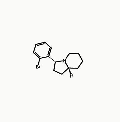 Brc1ccccc1[C@H]1CC[C@H]2CCCCN21